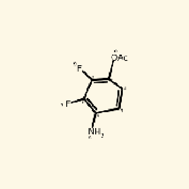 CC(=O)Oc1ccc(N)c(F)c1F